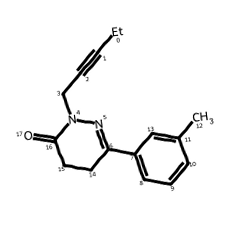 CCC#CCN1N=C(c2cccc(C)c2)CCC1=O